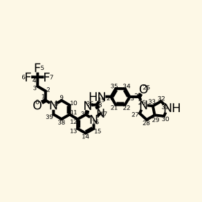 O=C(CCC(F)(F)F)N1CC=C(c2cccn3nc(Nc4ccc(C(=O)N5CCC6CNCC65)cc4)nc23)CC1